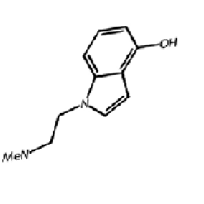 CNCCn1ccc2c(O)cccc21